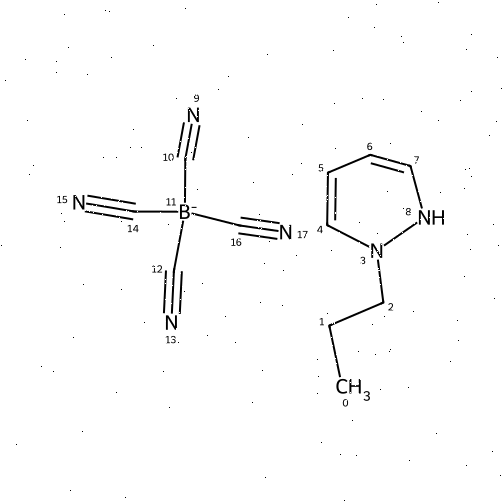 CCCN1C=CC=CN1.N#C[B-](C#N)(C#N)C#N